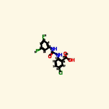 O=C(Nc1cc(F)cc(F)c1)Nc1ccc(Cl)cc1C(=O)O